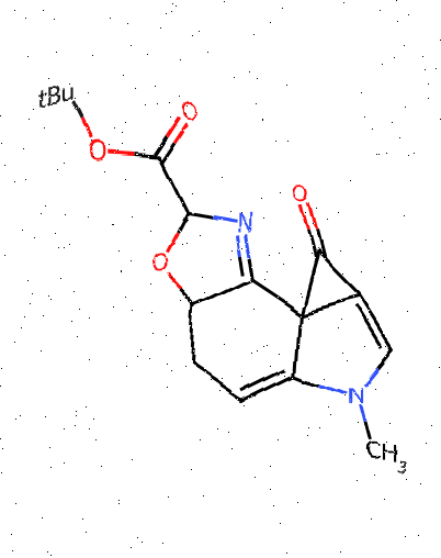 CN1C=C2C(=O)C23C1=CCC1OC(C(=O)OC(C)(C)C)N=C13